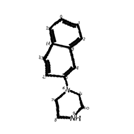 c1ccc2cc(N3CCNCC3)ccc2c1